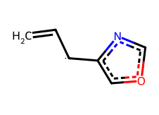 C=C[CH]c1cocn1